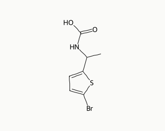 CC(NC(=O)O)c1ccc(Br)s1